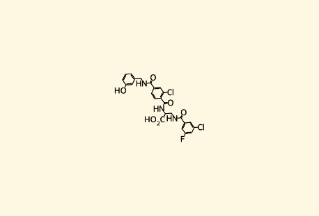 O=C(NCc1cccc(O)c1)c1ccc(C(=O)N[C@@H](CNC(=O)c2cc(F)cc(Cl)c2)C(=O)O)c(Cl)c1